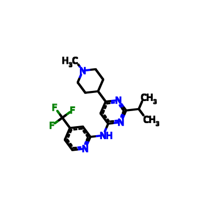 CC(C)c1nc(Nc2cc(C(F)(F)F)ccn2)cc(C2CCN(C)CC2)n1